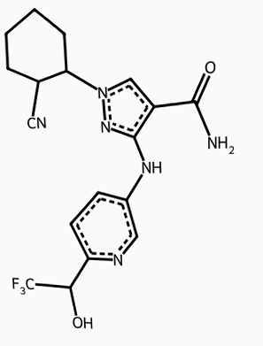 N#CC1CCCCC1n1cc(C(N)=O)c(Nc2ccc(C(O)C(F)(F)F)nc2)n1